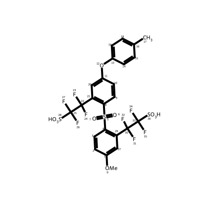 COc1ccc(S(=O)(=O)c2ccc(Oc3ccc(C)cc3)cc2C(F)(F)C(F)(F)S(=O)(=O)O)c(C(F)(F)C(F)(F)S(=O)(=O)O)c1